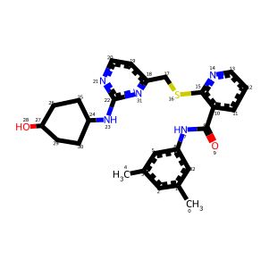 Cc1cc(C)cc(NC(=O)c2cccnc2SCc2ccnc(NC3CCC(O)CC3)n2)c1